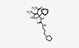 NC(=O)C1=C(N)NSC1(NC(=O)NCCCN1CCCC1)c1ccccc1